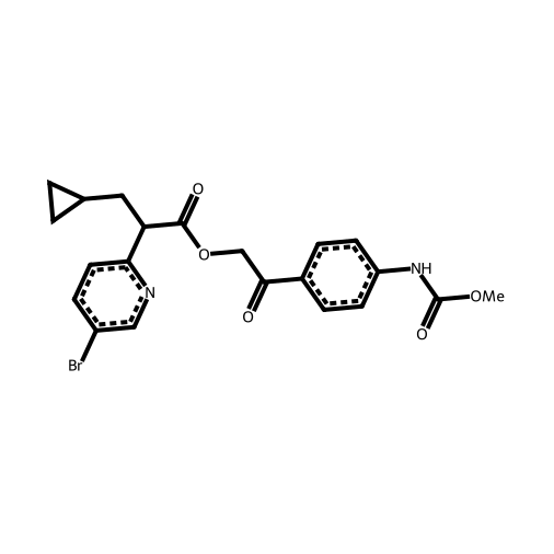 COC(=O)Nc1ccc(C(=O)COC(=O)C(CC2CC2)c2ccc(Br)cn2)cc1